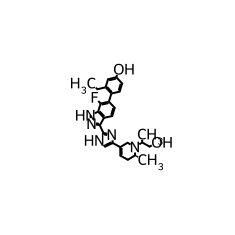 CCc1cc(O)ccc1-c1ccc2c(-c3nc(C4=CC[C@H](C)N(C(C)CO)C4)c[nH]3)n[nH]c2c1F